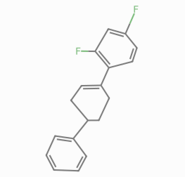 Fc1ccc(C2=CCC(c3ccccc3)CC2)c(F)c1